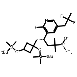 CC(F)(F)Cc1cnc(F)c([C@@H](CC2(O[Si](C)(C)C(C)(C)C)CC(O[Si](C)(C)C(C)(C)C)C2)CC(C)(C)[S@+](N)[O-])c1